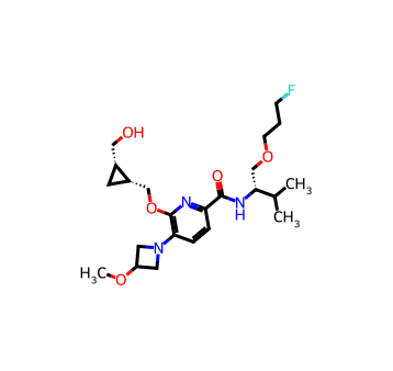 COC1CN(c2ccc(C(=O)N[C@H](COCCCF)C(C)C)nc2OC[C@@H]2C[C@@H]2CO)C1